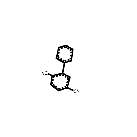 N#Cc1ccc(C#N)c(-c2ccccc2)c1